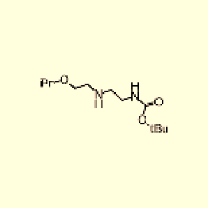 CC(C)OCCNCCNC(=O)OC(C)(C)C